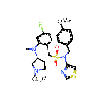 COc1ccc(CN(c2cscn2)S(=O)(=O)Cc2ccc(F)cc2N(C)[C@H]2CCN(C(=O)O)C2)cc1